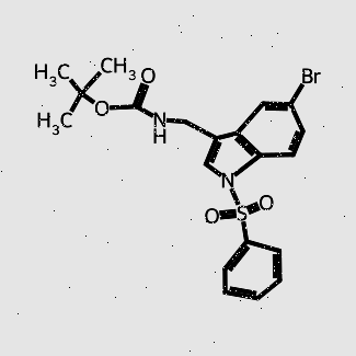 CC(C)(C)OC(=O)NCc1cn(S(=O)(=O)c2ccccc2)c2ccc(Br)cc12